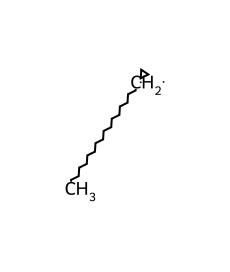 [CH2]CCCCCCCCCCCCCCCCC.[CH]1CC1